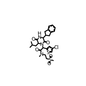 CC(C)CC1C(=O)NC(C2Cc3ccccc3C2)C(=O)N1C(C(=O)N(C)CCS(C)(=O)=O)c1cc(Cl)cs1